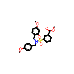 COC(=O)c1cccc(S(=O)(=O)N(Cc2ccc(OC)cc2)Cc2ccc(OC)cc2)c1